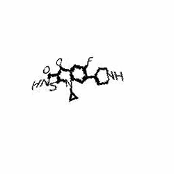 O=c1[nH]sc2c1c(=O)c1cc(F)c(C3=CCNCC3)cc1n2C1CC1